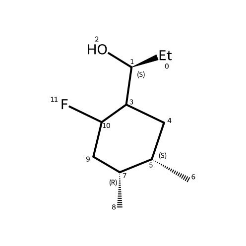 CC[C@H](O)C1C[C@H](C)[C@H](C)CC1F